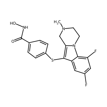 CN1CCn2c(c(Sc3ccc(C(=O)NO)cc3)c3cc(F)cc(F)c32)C1